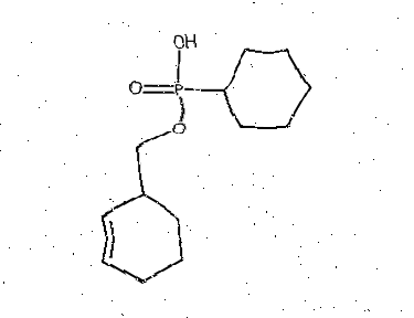 O=P(O)(OCC1C=CCCC1)C1CCCCC1